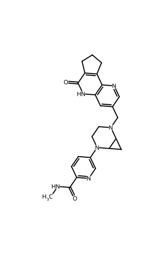 CNC(=O)c1ccc(N2CCN(Cc3cnc4c5c(c(=O)[nH]c4c3)CCC5)C3CC32)cn1